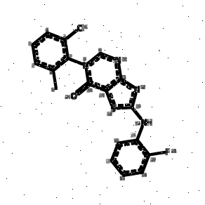 Cc1cccc(Cl)c1-n1cnc2nc(Nc3ccccc3F)sc2c1=O